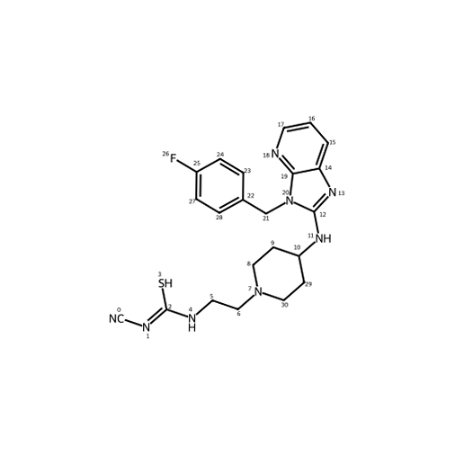 N#C/N=C(\S)NCCN1CCC(Nc2nc3cccnc3n2Cc2ccc(F)cc2)CC1